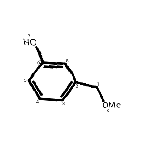 [CH]OCc1cccc(O)c1